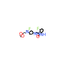 CN(CCC1OCCO1)c1ccc(NC=C2C(=O)Nc3cccc(F)c32)cc1F